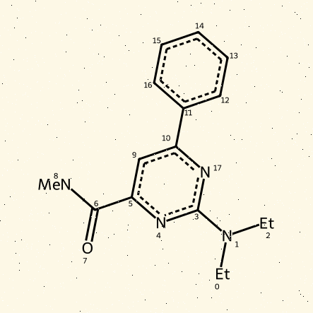 CCN(CC)c1nc(C(=O)NC)cc(-c2ccccc2)n1